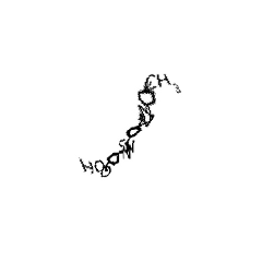 C[C@H]1CC[C@@H](N2CCN(c3ccc(-c4nnc(-c5ccc(C(=O)O)cc5)s4)cc3)CC2)CC1